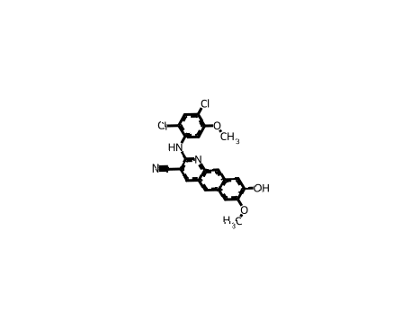 COc1cc2cc3cc(C#N)c(Nc4cc(OC)c(Cl)cc4Cl)nc3cc2cc1O